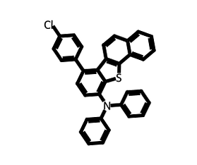 Clc1ccc(-c2ccc(N(c3ccccc3)c3ccccc3)c3sc4c5ccccc5ccc4c23)cc1